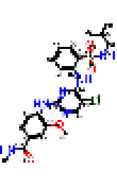 CNC(=O)c1ccc(Nc2ncc(Cl)c(Nc3ccccc3S(=O)(=O)NCC(C)C)n2)c(OC)c1